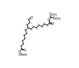 CCCCCCCCCOC(=O)CCCCCCCN(CCCCl)CCCCCCCC(=O)OC(CCCCCCCC)CCCCCCCC